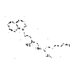 CC(CCCC[C]=O)NCC(O)COc1cccc2ccccc12